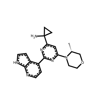 C[C@@H]1COCCN1c1cc(C2(N)CC2)nc(-c2ccnc3[nH]ccc23)n1